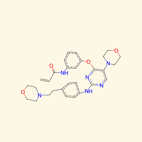 C=CC(=O)Nc1cccc(Oc2nc(Nc3ccc(CCN4CCOCC4)cc3)ncc2N2CCOCC2)c1